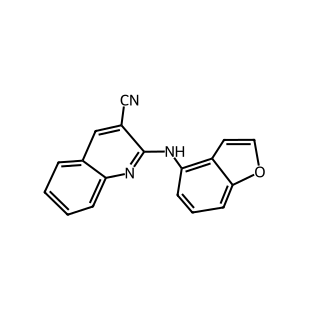 N#Cc1cc2ccccc2nc1Nc1cccc2occc12